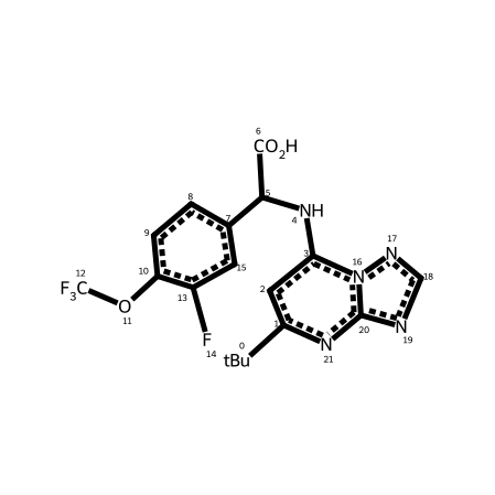 CC(C)(C)c1cc(NC(C(=O)O)c2ccc(OC(F)(F)F)c(F)c2)n2ncnc2n1